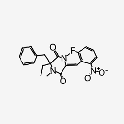 CCC1(Cc2ccccc2)C(=O)N(C)C(=Cc2c(F)cccc2[N+](=O)[O-])C(=O)N1C